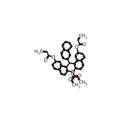 C=CC(=O)Oc1ccc2ccc(OC(=O)C=C)c(C(c3ccc4ccccc4c3)c3c(OC(=O)C=C)ccc4ccc(OC(=O)C=C)cc34)c2c1